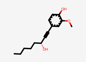 CCCCC[C@@H](O)C#Cc1ccc(O)c(OC)c1